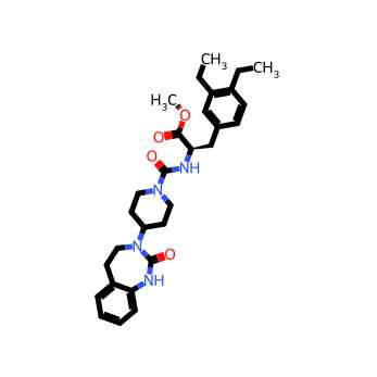 CCc1ccc(C[C@@H](NC(=O)N2CCC(N3CCc4ccccc4NC3=O)CC2)C(=O)OC)cc1CC